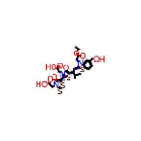 CCOC(=O)CN1/C(=C/C(=c2/s/c(=C3\SC(=S)N(CC(=O)O)C3=O)n(CC(=O)O)c2=O)C(C)C)Sc2ccc(CO)cc21